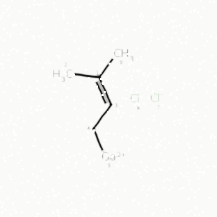 CC(C)=C[CH2][Ga+2].[Cl-].[Cl-]